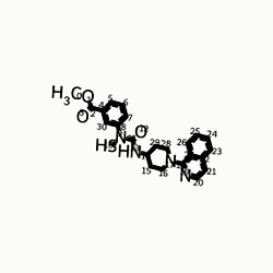 COC(=O)c1cccc(N(S)C(=O)NC2CCN(c3nccc4ccccc34)CC2)c1